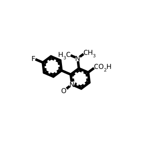 CN(C)c1c(C(=O)O)cc[n+]([O-])c1-c1ccc(F)cc1